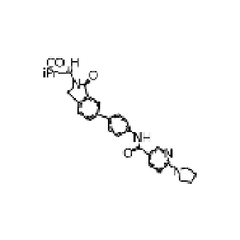 CC(C)C(C(=O)O)N1Cc2ccc(-c3ccc(NC(=O)c4ccc(N5CCCC5)nc4)cc3)cc2C1=O